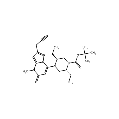 CC[C@@H]1CN(c2cc(=O)n(C)c3cc(CC#N)nn23)[C@@H](CC)CN1C(=O)OC(C)(C)C